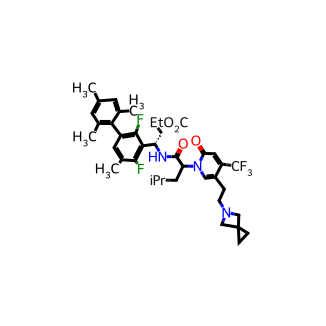 CCOC(=O)C[C@H](NC(=O)C(CC(C)C)n1cc(CCN2CC3(CC3)C2)c(C(F)(F)F)cc1=O)c1c(F)c(C)cc(-c2c(C)cc(C)cc2C)c1F